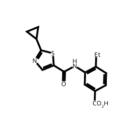 CCc1ccc(C(=O)O)cc1NC(=O)c1cnc(C2CC2)s1